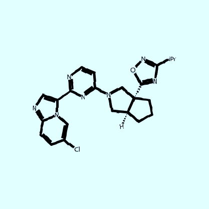 CC(C)c1noc([C@]23CCC[C@H]2CN(c2ccnc(-c4cnc5ccc(Cl)cn45)n2)C3)n1